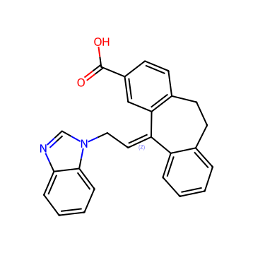 O=C(O)c1ccc2c(c1)/C(=C\Cn1cnc3ccccc31)c1ccccc1CC2